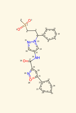 CS(=O)(=O)CCC(c1ccccc1)n1cc(NC(=O)c2cc(-c3ccccc3)on2)cn1